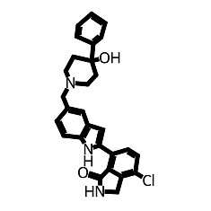 O=C1NCc2c(Cl)ccc(-c3cc4cc(CN5CCC(O)(c6ccccc6)CC5)ccc4[nH]3)c21